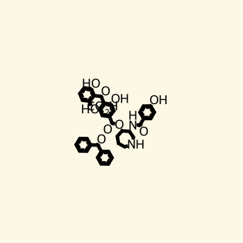 O=C(N[C@@H]1CNCCC[C@H]1OC(=O)c1cc(O)c(C(=O)c2c(O)cccc2C(=O)O)c(O)c1)c1ccc(O)cc1.O=C(c1ccccc1)c1ccccc1